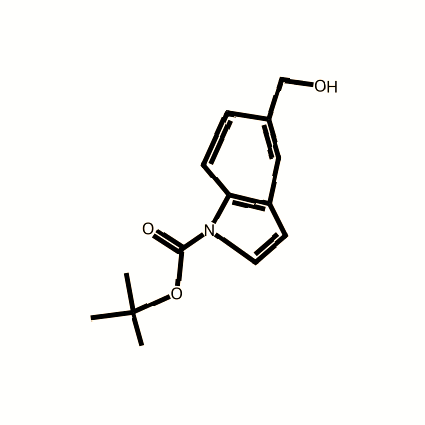 CC(C)(C)OC(=O)n1ccc2cc(CO)ccc21